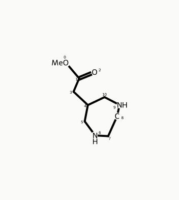 COC(=O)CC1CNCCNC1